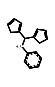 C1=CCC(C([SiH2]c2ccccc2)C2=CC=CC2)=C1